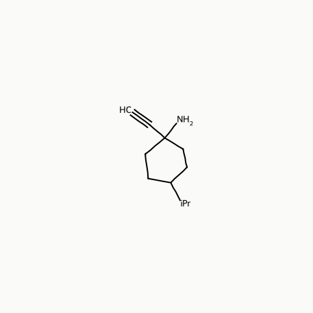 C#CC1(N)CCC(C(C)C)CC1